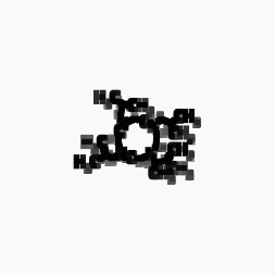 C=C(C)CN1CCN(CC(=C)C)CCN(C(C)C(=C)C)CCN(CC(=C)C)CC1